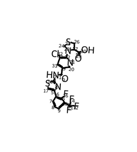 O=C(Nc1nc(-c2cccc(C(F)(F)F)c2F)cs1)c1cnc(N2CSCC2C(=O)O)c(Cl)c1